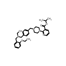 CCOc1ccccc1CN(CC)Cc1ccc(CN2CCN(c3ncccc3C(=O)OC(C)C)CC2)cc1